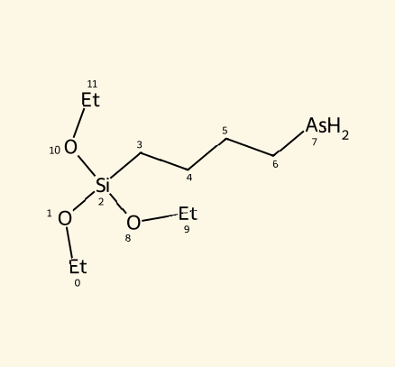 CCO[Si](CCCC[AsH2])(OCC)OCC